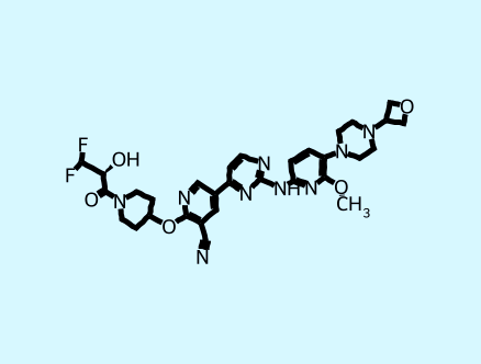 COc1nc(Nc2nccc(-c3cnc(OC4CCN(C(=O)[C@H](O)C(F)F)CC4)c(C#N)c3)n2)ccc1N1CCN(C2COC2)CC1